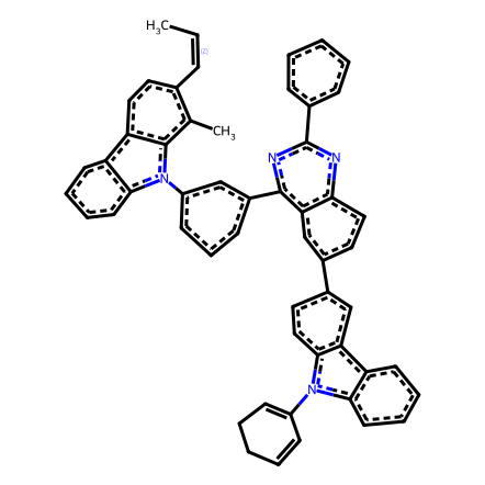 C/C=C\c1ccc2c3ccccc3n(-c3cccc(-c4nc(-c5ccccc5)nc5ccc(-c6ccc7c(c6)c6ccccc6n7C6=CCCC=C6)cc45)c3)c2c1C